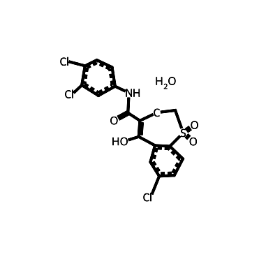 O.O=C(Nc1ccc(Cl)c(Cl)c1)C1=C(O)c2cc(Cl)ccc2S(=O)(=O)CC1